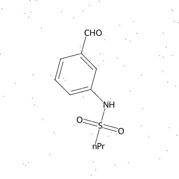 CCCS(=O)(=O)Nc1cccc(C=O)c1